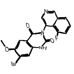 COc1cc2c(=O)n(-c3cncc4cccc(F)c34)c(=O)[nH]c2cc1Br